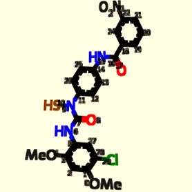 COc1cc(OC)c(NC(=O)N(S)c2ccc(NC(=O)c3cccc([N+](=O)[O-])c3)cc2)cc1Cl